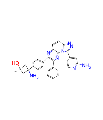 C[C@]1(O)C[C@](N)(c2ccc(-c3nc4ccc5nnc(-c6ccnc(N)c6)n5c4nc3-c3ccccc3)cc2)C1